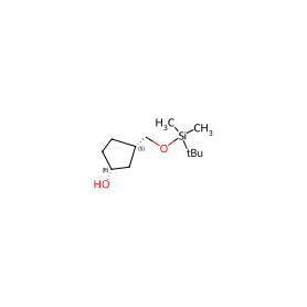 CC(C)(C)[Si](C)(C)OC[C@H]1CC[C@@H](O)C1